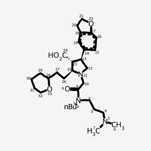 CCCCN(CCCN(C)C)C(=O)CN1C[C@H](c2ccc3c(c2)CCO3)[C@@H](C(=O)O)[C@@H]1CCC1CCCCO1